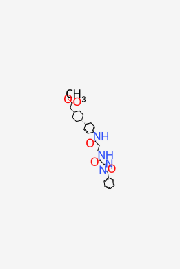 COC(=O)C[C@H]1CC[C@H](c2ccc(NC(=O)CCNC(=O)c3noc(-c4ccccc4)n3)cc2)CC1